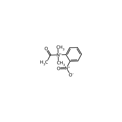 CC(=O)[N+](C)(C)c1ccccc1[N+](=O)[O-]